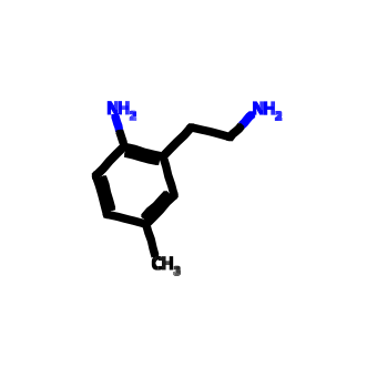 Cc1ccc(N)c(CCN)c1